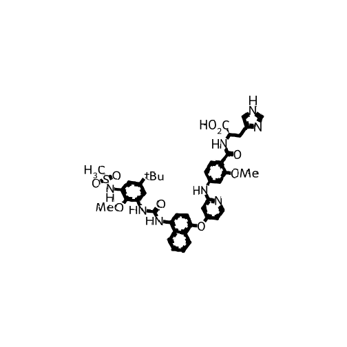 COc1cc(Nc2cc(Oc3ccc(NC(=O)Nc4cc(C(C)(C)C)cc(NS(C)(=O)=O)c4OC)c4ccccc34)ccn2)ccc1C(=O)N[C@@H](Cc1c[nH]cn1)C(=O)O